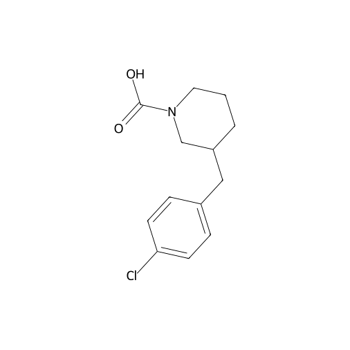 O=C(O)N1CCCC(Cc2ccc(Cl)cc2)C1